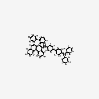 c1ccc(N(c2ccccc2)c2ccc(-c3ccc(-n4c5cccc6c5c5c7c(cc8ccccc8c7c7ccccc7c54)-c4ccccc4-6)cc3)cc2)cc1